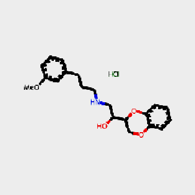 COc1cccc(CCCNCC(O)C2COc3ccccc3O2)c1.Cl